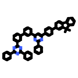 CC1(C)c2ccccc2-c2ccc(-c3ccc(-c4cc(-c5cccc(-c6cccc(-c7nc(-c8ccccc8)nc(-c8ccccc8)n7)c6)c5)nc(-c5ccccc5)n4)cc3)cc21